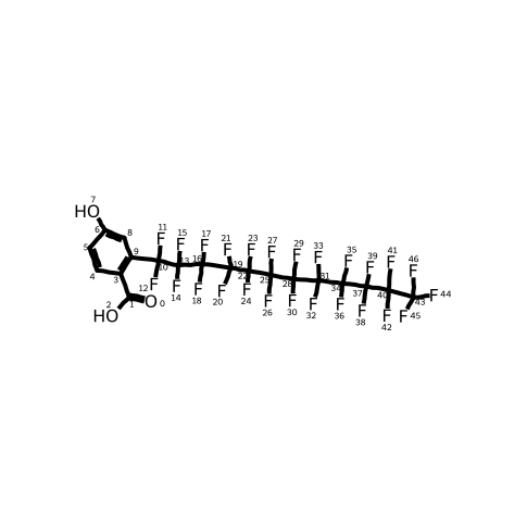 O=C(O)c1ccc(O)cc1C(F)(F)C(F)(F)C(F)(F)C(F)(F)C(F)(F)C(F)(F)C(F)(F)C(F)(F)C(F)(F)C(F)(F)C(F)(F)C(F)(F)F